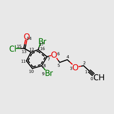 C#CCOCCOc1c(Br)ccc(C(=O)Cl)c1Br